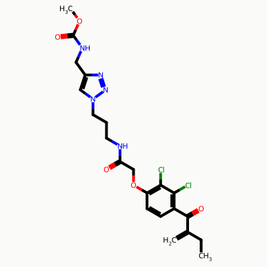 C=C(CC)C(=O)c1ccc(OCC(=O)NCCCn2cc(CNC(=O)OC)nn2)c(Cl)c1Cl